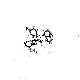 Cc1cccn2c(-c3cccc(F)c3)c(C(C)Nc3ncnc4[nH]cnc34)nc12